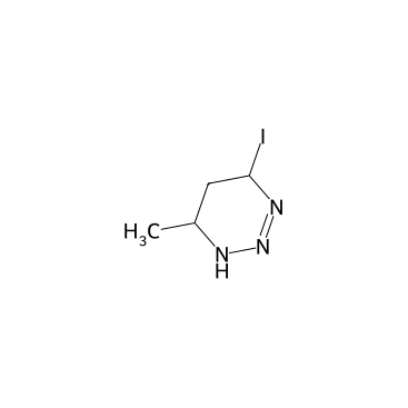 CC1CC(I)N=NN1